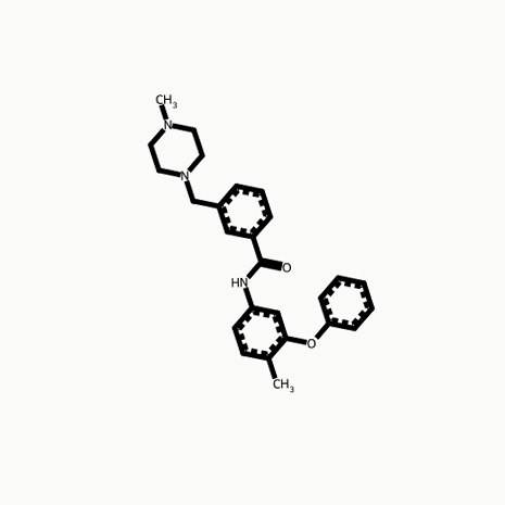 Cc1ccc(NC(=O)c2cccc(CN3CCN(C)CC3)c2)cc1Oc1ccccc1